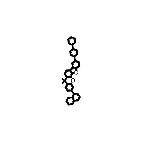 CC1(C)c2ccc(-c3cccc4ccccc34)cc2Oc2c1ccc1c2oc2ccc(-c3ccc(-c4ccccc4)cc3)cc21